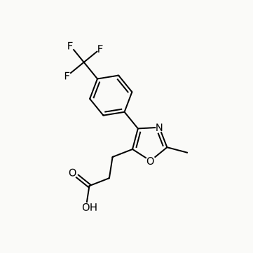 Cc1nc(-c2ccc(C(F)(F)F)cc2)c(CCC(=O)O)o1